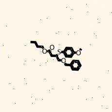 CCCCOC(=O)CC(COCc1ccccc1)Sc1ccc(OC)cc1